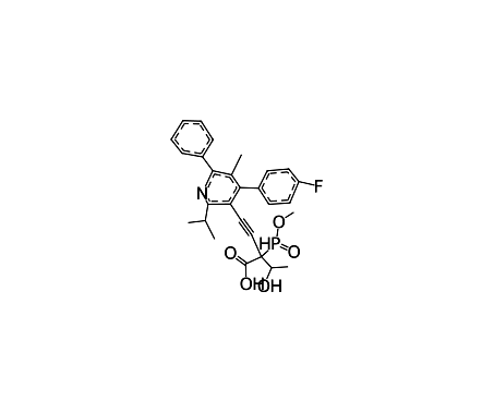 CO[PH](=O)C(C#Cc1c(C(C)C)nc(-c2ccccc2)c(C)c1-c1ccc(F)cc1)(C(=O)O)C(C)O